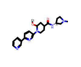 CCOC1CC(C(=O)N[C@@H]2CCN(C)C2)CCN1c1ccc(-c2cccnc2)nc1